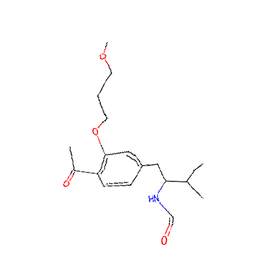 COCCCOc1cc(CC(NC=O)C(C)C)ccc1C(C)=O